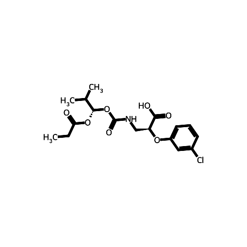 CCC(=O)O[C@@H](OC(=O)NC[C@H](Oc1cccc(Cl)c1)C(=O)O)C(C)C